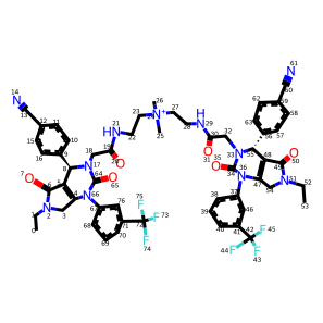 CCN1CC2=C(C1=O)[C@@H](c1ccc(C#N)cc1)N(CC(=O)NCC[N+](C)(C)CCNC(=O)CN1C(=O)N(c3cccc(C(F)(F)F)c3)C3=C(C(=O)N(CC)C3)[C@H]1c1ccc(C#N)cc1)C(=O)N2c1cccc(C(F)(F)F)c1